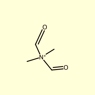 C[N+](C)(C=O)C=O